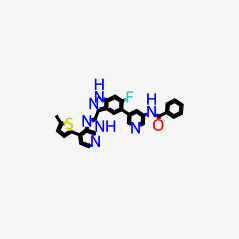 Cc1ccc(-c2ccnc3[nH]c(-c4n[nH]c5cc(F)c(-c6cncc(NC(=O)c7ccccc7)c6)cc45)nc23)s1